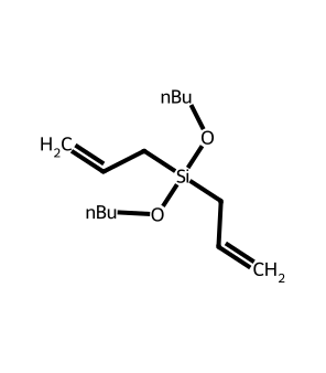 C=CC[Si](CC=C)(OCCCC)OCCCC